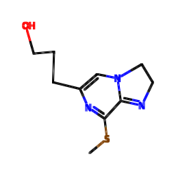 CSC1=NC(CCCO)=CN2CCN=C12